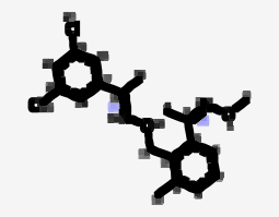 CO/N=C(/C)c1cccc(C)c1CO/N=C(\C)c1cc(Cl)cc(Cl)c1